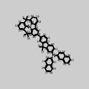 CC1(C)C2=c3c(c4cc(-c5ccc6c(c5)C(C)(C)c5cc(N(c7ccc8ccccc8c7)c7ccc8ccccc8c7)ccc5-6)cc5c4n3-c3c1cccc3C5(C)C)=CCC2